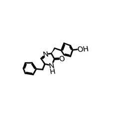 O=C1NC(Cc2ccccc2)C=N[C@H]1Cc1ccc(O)cc1